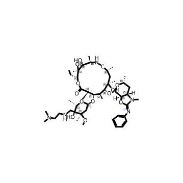 CC[C@H]1OC(=O)[C@H](C)[C@@H](O[C@H]2C[C@@](C)(OC)[C@](O)(CNCCN(C)C)[C@H](C)O2)[C@H](C)[C@@H](O[C@@H]2O[C@H](C)C[C@H]3[C@H]2O/C(=N\c2ccccc2)N3C)[C@](C)(O)C[C@@H](C)CN[C@H](C)[C@@H](O)[C@]1(C)O